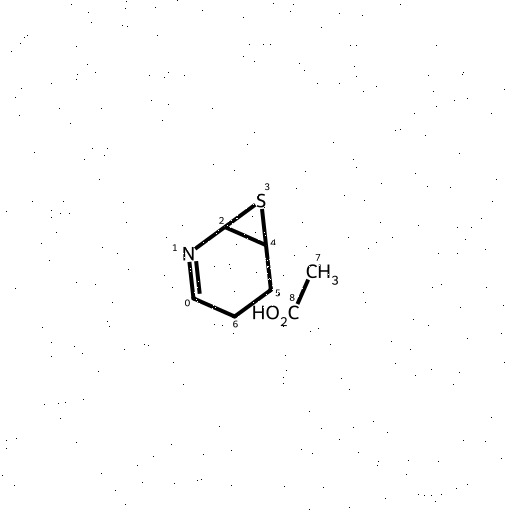 C1=NC2SC2CC1.CC(=O)O